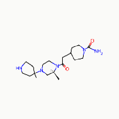 C[C@H]1CN(C2(C)CCNCC2)CCN1C(=O)CC1CCN(C(N)=O)CC1